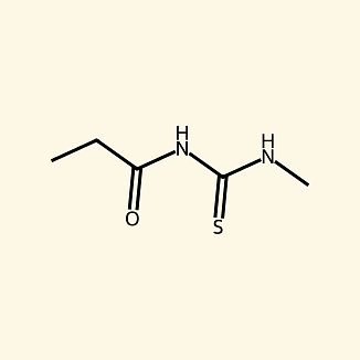 CCC(=O)NC(=S)NC